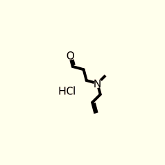 C=CCN(C)CCC=O.Cl